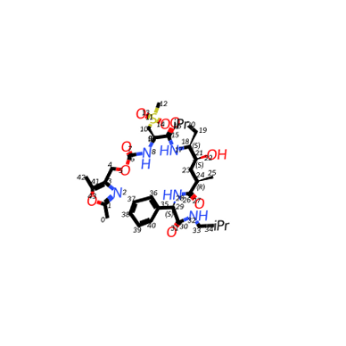 Cc1nc(COC(=O)N[C@@H](CS(C)(=O)=O)C(=O)N[C@@H](CC(C)C)[C@@H](O)C[C@@H](C)C(=O)N[C@H](C(=O)NCC(C)C)c2ccccc2)c(C)o1